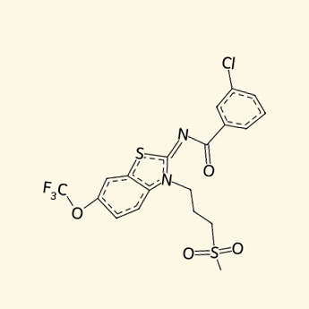 CS(=O)(=O)CCCn1c(=NC(=O)c2cccc(Cl)c2)sc2cc(OC(F)(F)F)ccc21